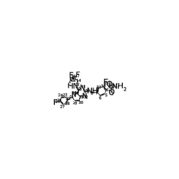 NS(=O)(=O)c1ccc(CNc2nc(NCC(F)(F)F)c3nc(-c4ccc(F)cc4)ccc3n2)cc1F